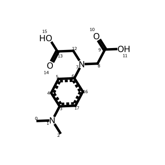 CN(C)c1ccc(N(CC(=O)O)CC(=O)O)cc1